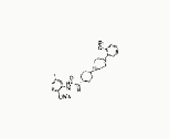 COc1ccc(C)cc1NC(=O)N[C@H]1CC[C@H](N2CCN(c3ccccc3OC(C)C)CC2)CC1